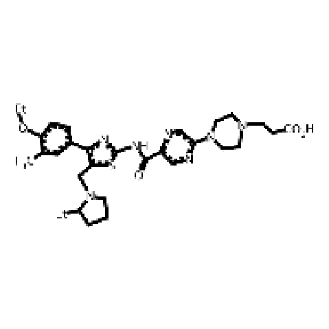 CCOc1ccc(-c2nc(NC(=O)c3cnc(N4CCN(CCC(=O)O)CC4)cn3)sc2CN2CCCC2CC)cc1C(F)(F)F